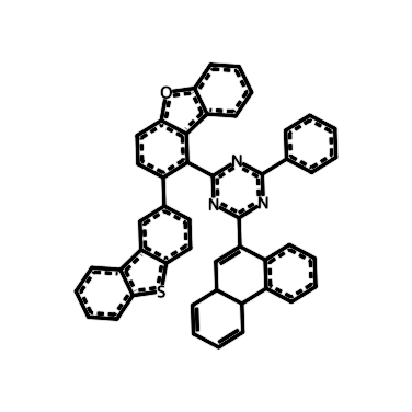 C1=CC2C=C(c3nc(-c4ccccc4)nc(-c4c(-c5ccc6sc7ccccc7c6c5)ccc5oc6ccccc6c45)n3)c3ccccc3C2C=C1